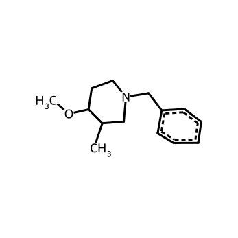 COC1CCN(Cc2ccccc2)CC1C